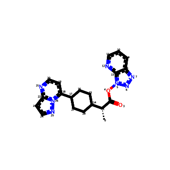 C[C@@H](C(=O)On1nnc2cccnc21)C1CCC(c2ccnc3ccnn23)CC1